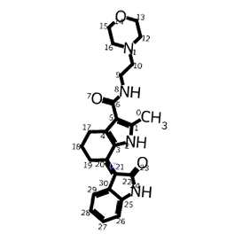 Cc1[nH]c2c(c1C(=O)NCCN1CCOCC1)CCC/C2=C1/C(=O)Nc2ccccc21